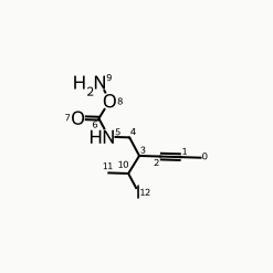 CC#CC(CNC(=O)ON)C(C)I